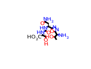 CC(O)C(N)c1nnc([C@H](CC(N)=O)NC(=O)N[C@@H](CO)C(=O)O)o1